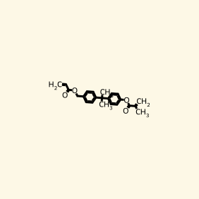 C=CC(=O)OCc1ccc(C(C)(C)c2ccc(OC(=O)C(=C)C)cc2)cc1